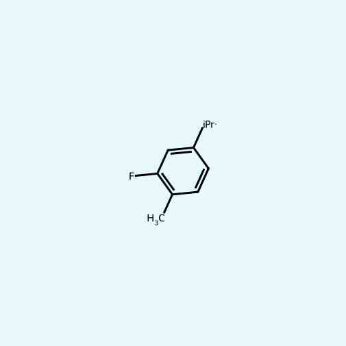 C[C](C)c1ccc(C)c(F)c1